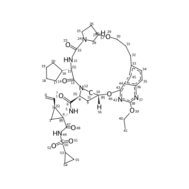 C=C[C@@H]1C[C@]1(NC(=O)[C@@H]1C[C@@H]2CN1C(=O)[C@H](C1CCCC1)NC(=O)N1CC[C@H](C1)OCCCc1ccc3nc(OCC)nc(c3c1)O2)C(=O)NS(=O)(=O)C1CC1